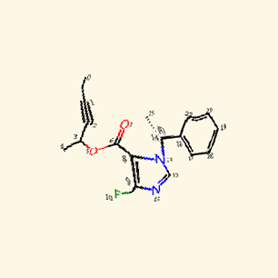 CC#CC(C)OC(=O)c1c(F)ncn1[C@H](C)c1ccccc1